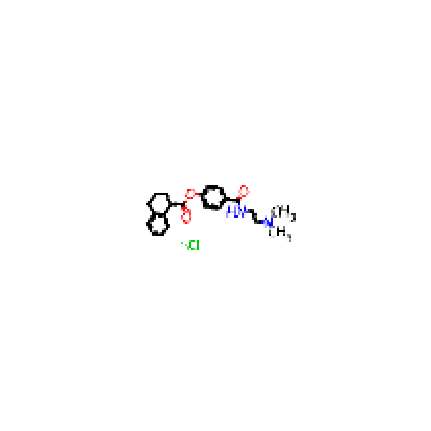 CN(C)CCNC(=O)c1ccc(OC(=O)C2CCCc3ccccc32)cc1.Cl